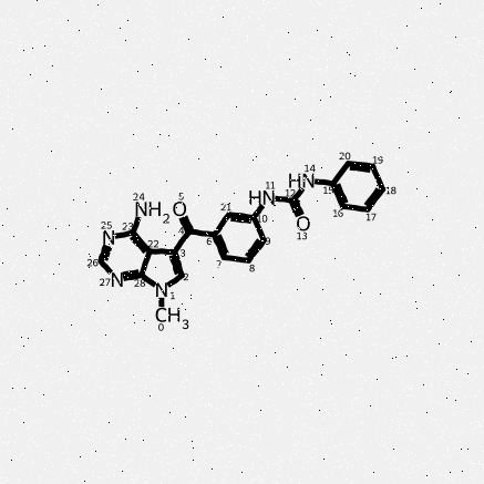 Cn1cc(C(=O)c2cccc(NC(=O)Nc3ccccc3)c2)c2c(N)ncnc21